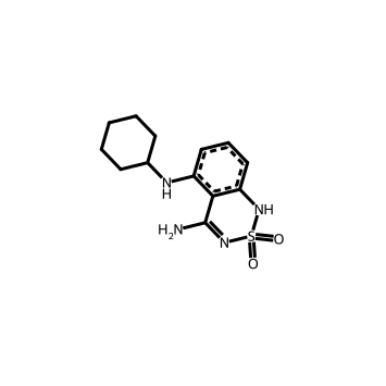 NC1=NS(=O)(=O)Nc2cccc(NC3CCCCC3)c21